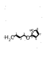 [CH2]C=CCOc1cccs1